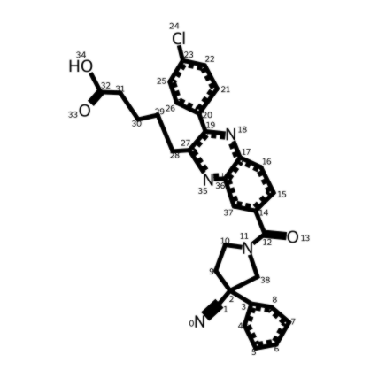 N#CC1(c2ccccc2)CCN(C(=O)c2ccc3nc(-c4ccc(Cl)cc4)c(CCCCC(=O)O)nc3c2)C1